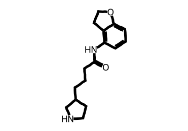 O=C(CCCC1CCNC1)Nc1cccc2c1CCO2